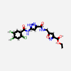 CCOC(=O)c1cc(CNC(=O)c2cc(NC(=O)c3cc(F)c(F)cc3Cl)[nH]n2)on1